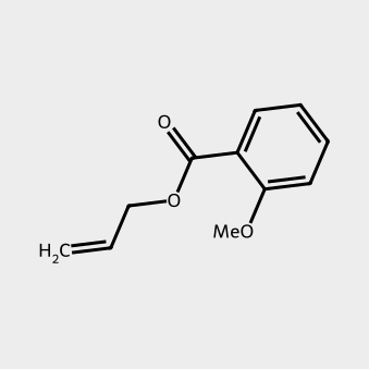 C=CCOC(=O)c1ccccc1OC